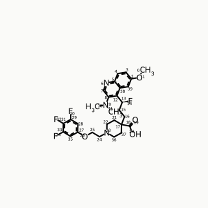 COc1ccc2ncc(N(C)C)c([C@@H](F)CCC3(C(=O)O)CCN(CCOc4cc(F)c(F)c(F)c4)CC3)c2c1